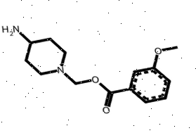 COc1cccc(C(=O)OCN2CCC(N)CC2)c1